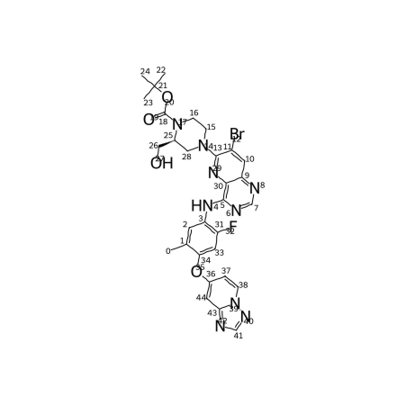 Cc1cc(Nc2ncnc3cc(Br)c(N4CCN(C(=O)OC(C)(C)C)[C@H](CO)C4)nc23)c(F)cc1Oc1ccn2ncnc2c1